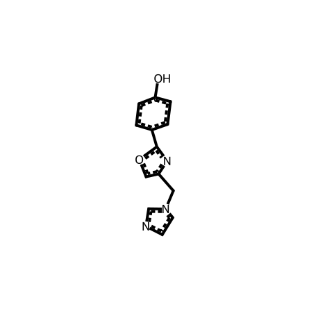 Oc1ccc(-c2nc(Cn3ccnc3)co2)cc1